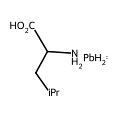 CC(C)CC(N)C(=O)O.[PbH2]